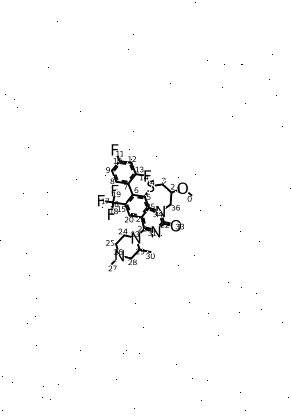 COC1CSc2c(-c3ccc(F)cc3F)c(C(F)(F)F)cc3c(N4CCN(C)CC4C)nc(=O)n(c23)C1